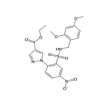 CCOC(=O)c1cnn(-c2ccc([N+](=O)[O-])cc2S(=O)(=O)NCc2ccc(OC)cc2OC)c1